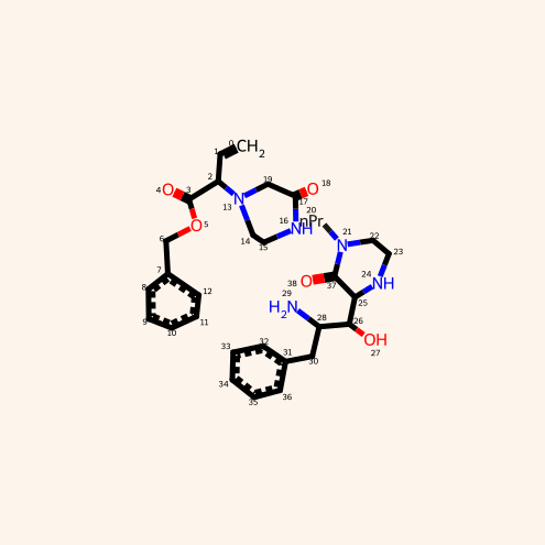 C=CC(C(=O)OCc1ccccc1)N1CCNC(=O)C1.CCCN1CCNC(C(O)C(N)Cc2ccccc2)C1=O